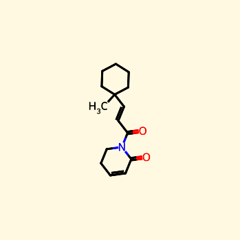 CC1(/C=C/C(=O)N2CCC=CC2=O)CCCCC1